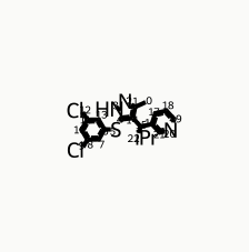 Cc1n[nH]c(Sc2cc(Cl)cc(Cl)c2)c1C(c1cccnc1)C(C)C